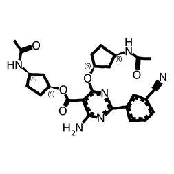 CC(=O)N[C@@H]1CC[C@H](OC(=O)c2c(N)nc(-c3cccc(C#N)c3)nc2O[C@H]2CC[C@@H](NC(C)=O)C2)C1